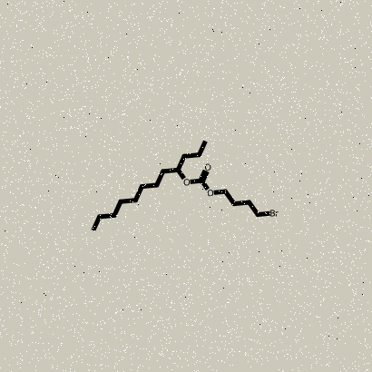 CCCCCCCCC(CCC)OC(=O)OCCCCBr